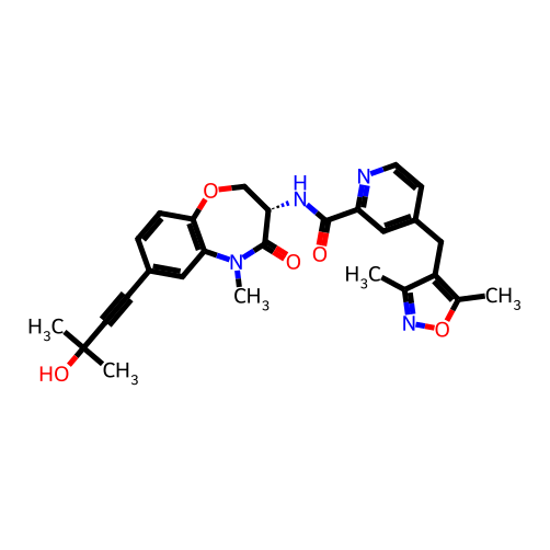 Cc1noc(C)c1Cc1ccnc(C(=O)N[C@H]2COc3ccc(C#CC(C)(C)O)cc3N(C)C2=O)c1